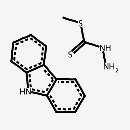 CSC(=S)NN.c1ccc2c(c1)[nH]c1ccccc12